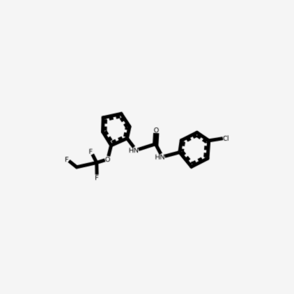 O=C(Nc1ccc(Cl)cc1)Nc1ccccc1OC(F)(F)CF